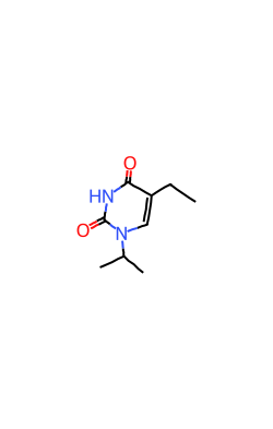 CCc1cn(C(C)C)c(=O)[nH]c1=O